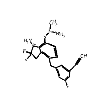 C#Cc1cc(F)cc(Cc2ccc(SN(C)N)c3c2CC(F)(F)[C@H]3N)c1